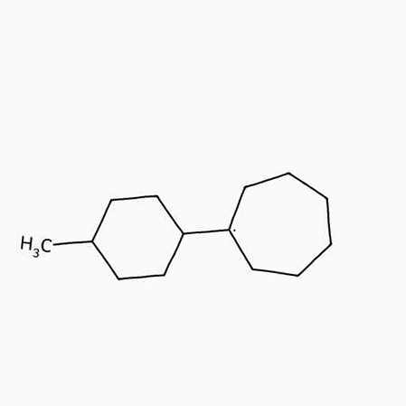 CC1CCC([C]2CCCCCC2)CC1